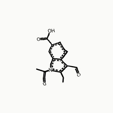 CC(=O)n1c(C)c(C=O)c2ccc(C(=O)O)cc21